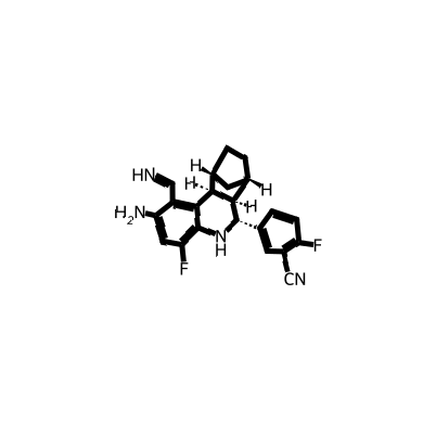 N#Cc1cc([C@@H]2Nc3c(F)cc(N)c(C=N)c3[C@H]3[C@@H]4CC[C@@H](C4)[C@H]32)ccc1F